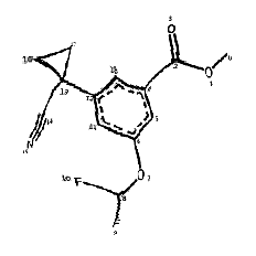 COC(=O)c1cc(OC(F)F)cc(C2(C#N)CC2)c1